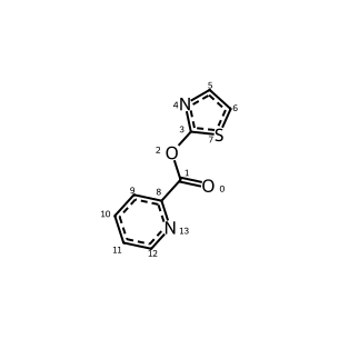 O=C(Oc1nccs1)c1ccccn1